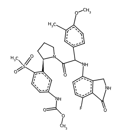 COC(=O)Nc1ccc(S(C)(=O)=O)c([C@H]2CCCN2C(=O)C(Nc2ccc(F)c3c2CNC3=O)c2ccc(OC)c(C)c2)c1